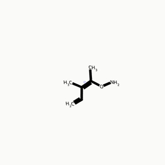 C=C/C(C)=C(/C)ON